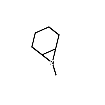 CN1C2CCCCC21